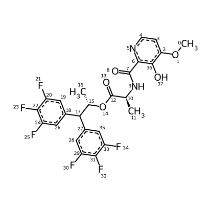 COc1ccnc(C(=O)N[C@@H](C)C(=O)O[C@@H](C)C(c2cc(F)c(F)c(F)c2)c2cc(F)c(F)c(F)c2)c1O